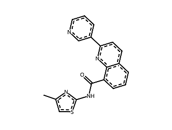 Cc1csc(NC(=O)c2cccc3ccc(-c4cccnc4)nc23)n1